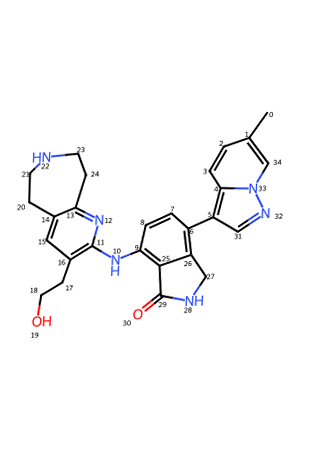 Cc1ccc2c(-c3ccc(Nc4nc5c(cc4CCO)CCNCC5)c4c3CNC4=O)cnn2c1